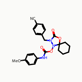 COc1ccc(NC(=O)ON2N(Cc3ccc(C#N)cc3)C(=O)OC23CCCCC3)cc1